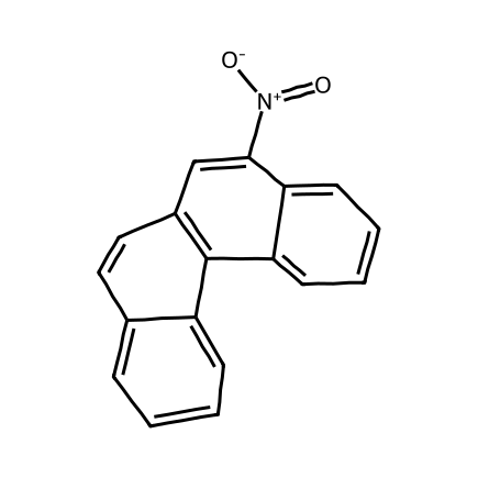 O=[N+]([O-])c1cc2ccc3ccccc3c2c2ccccc12